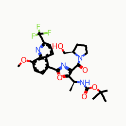 COc1ccc(-c2nc(C(=O)N3CCC[C@@H]3CO)c([C@H](C)NC(=O)OC(C)(C)C)o2)c2ccc(C(F)(F)F)nc12